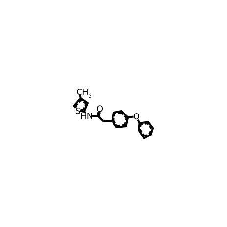 Cc1csc(NC(=O)Cc2ccc(Oc3ccccc3)cc2)c1